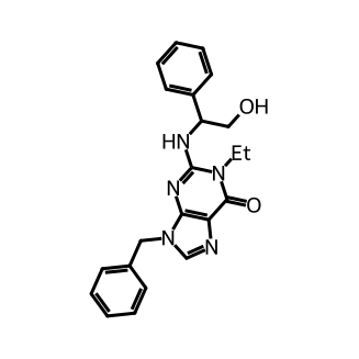 CCn1c(NC(CO)c2ccccc2)nc2c(ncn2Cc2ccccc2)c1=O